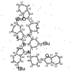 CC(C)(C)c1cc2c3c(c1)N(c1cccc(-c4cc5ccccc5o4)c1)c1c(sc4ccc(C(C)(C)C)cc14)B3c1sc3ccc(C(C)(C)C)cc3c1N2c1cccc(-c2cc3ccccc3o2)c1